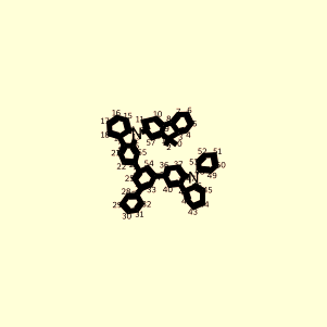 CC1(C)c2ccccc2-c2ccc(-n3c4ccccc4c4ccc(-c5cc(-c6ccccc6)cc(-c6ccc7c(c6)c6ccccc6n7-c6ccccc6)c5)cc43)cc21